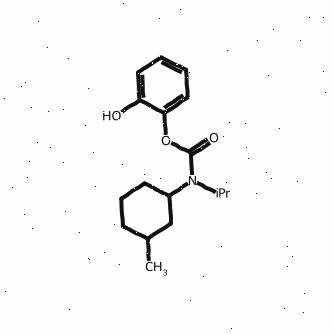 CC1CCCC(N(C(=O)Oc2ccccc2O)C(C)C)C1